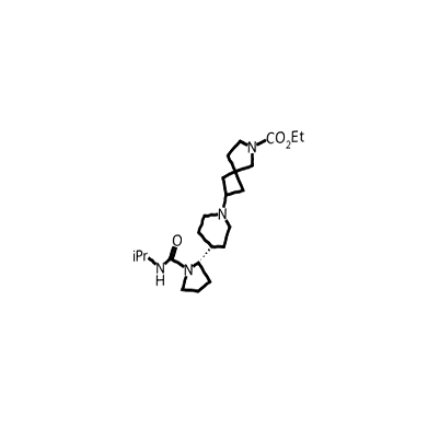 CCOC(=O)N1CCC2(CC(N3CCC([C@@H]4CCCN4C(=O)NC(C)C)CC3)C2)C1